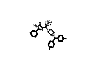 Cc1ccc(C(c2ccc(C)cc2)N2CCN(C(C)c3nc(-c4ccccc4)[nH]c3C)CC2)cc1.Cl.Cl.Cl